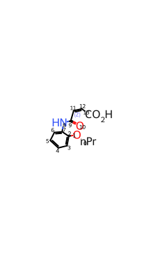 CCCOc1ccccc1NC(=O)/C=C\C(=O)O